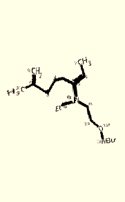 C=C(C)CC/C(=C\C)N(CC)CCOCCCC